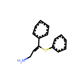 NC/C=C(\Sc1ccccc1)c1ccccc1